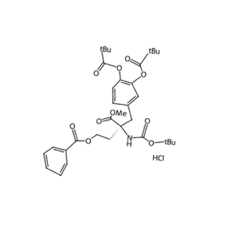 COC(=O)[C@@](CCOC(=O)c1ccccc1)(Cc1ccc(OC(=O)C(C)(C)C)c(OC(=O)C(C)(C)C)c1)NC(=O)OC(C)(C)C.Cl